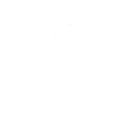 O=C1Oc2c(C3CCCCC3)cc(C3CCCCC3)cc2C1c1ccccc1